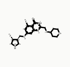 O=c1[nH]c(CSC2CCOCC2)nc2cc(OC[C@H]3CNC[C@H]3F)cc(F)c12